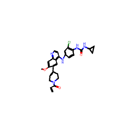 C=CC(=O)N1CC=C(c2cc3c(Nc4ccc(NC(=O)NC5CC5)c(Cl)c4)ccnc3cc2OC)CC1